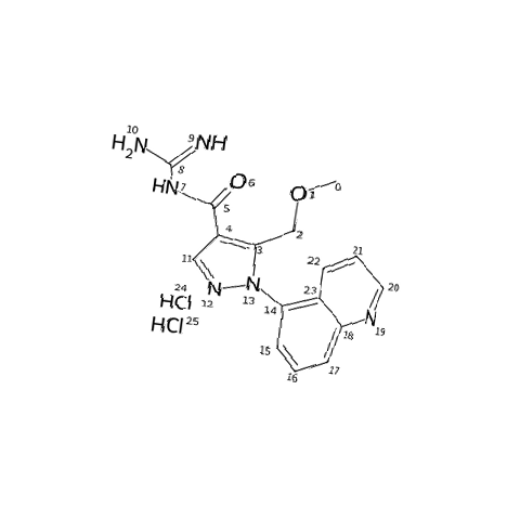 COCc1c(C(=O)NC(=N)N)cnn1-c1cccc2ncccc12.Cl.Cl